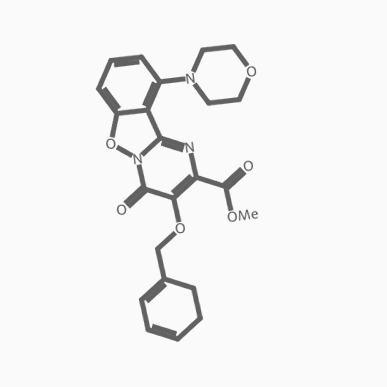 COC(=O)c1nc2c3c(N4CCOCC4)cccc3on2c(=O)c1OCC1=CC=CCC1